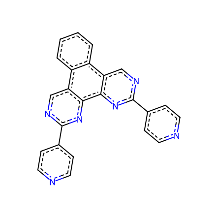 c1ccc2c(c1)c1cnc(-c3ccncc3)nc1c1nc(-c3ccncc3)ncc21